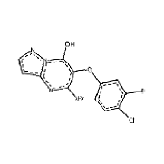 CC(C)c1nc2ccnn2c(O)c1Oc1ccc(Cl)c(F)c1